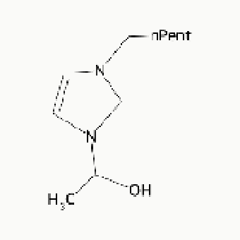 CCCCCCN1C=CN(C(C)O)C1